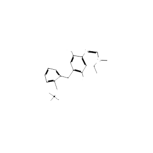 CCN(C)/C=N\c1cc(Cl)c(Cc2ccccc2OC(F)(F)F)cc1Cl